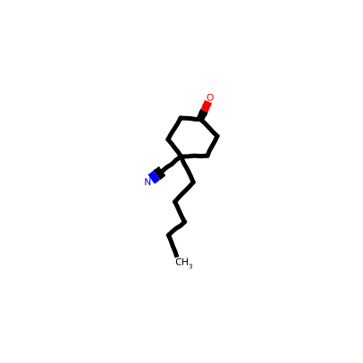 CCCCCC1(C#N)CCC(=O)CC1